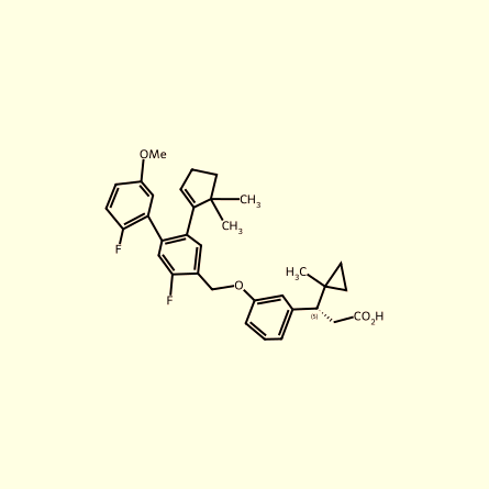 COc1ccc(F)c(-c2cc(F)c(COc3cccc([C@@H](CC(=O)O)C4(C)CC4)c3)cc2C2=CCCC2(C)C)c1